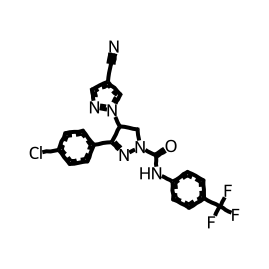 N#Cc1cnn(C2CN(C(=O)Nc3ccc(C(F)(F)F)cc3)N=C2c2ccc(Cl)cc2)c1